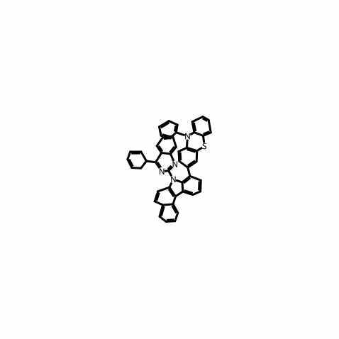 C1=CCC(c2nc(-n3c4ccc5ccccc5c4c4cccc(-c5ccc6c(c5)Sc5ccccc5N6c5ccccc5)c43)nc3ccccc23)C=C1